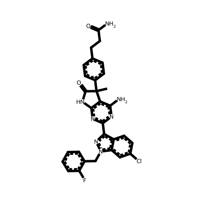 CC1(c2ccc(CCC(N)=O)cc2)C(=O)Nc2nc(-c3nn(Cc4ccccc4F)c4cc(Cl)ccc34)nc(N)c21